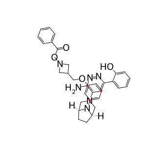 Nc1nnc(-c2ccccc2O)cc1N1C[C@H]2CC[C@@H](C1)N2c1cccc(OCC2CN(OC(=O)c3ccccc3)C2)c1